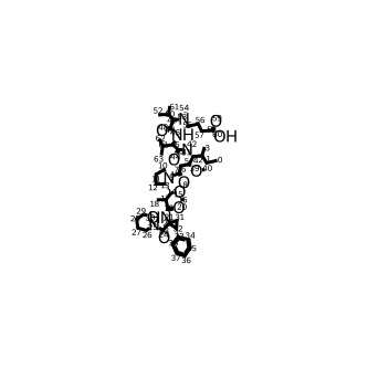 CCC(C)C(C(CC(=O)N1CCC[C@H]1C(OC)C(C)C(=O)N[C@@]1(C(=O)N2CCCCO2)C[C@@H]1c1ccccc1)OC)N(C)C(=O)C(NC(=O)C(C(C)C)N(C)CCCC(=O)O)C(C)C